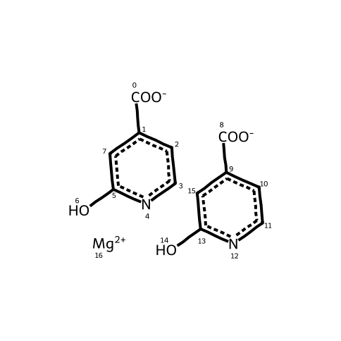 O=C([O-])c1ccnc(O)c1.O=C([O-])c1ccnc(O)c1.[Mg+2]